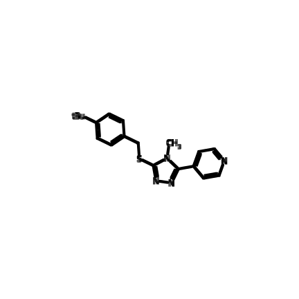 Cn1c(SCc2ccc(C(C)(C)C)cc2)nnc1-c1ccncc1